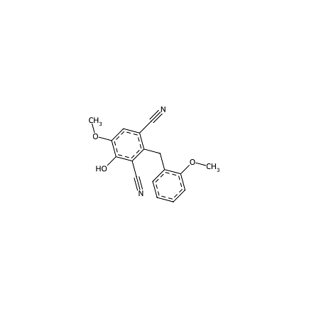 COc1ccccc1Cc1c(C#N)cc(OC)c(O)c1C#N